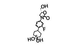 O=C1O[C@@H](CO)CN1c1ccc(C2CCS(O)(O)CC2)c(F)c1